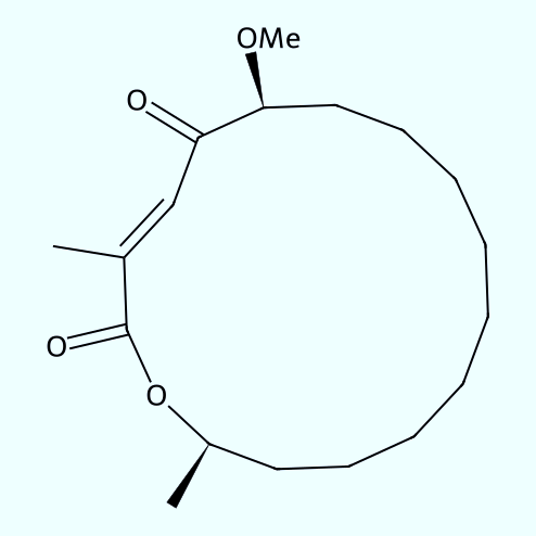 CO[C@H]1CCCCCCCCC[C@@H](C)OC(=O)/C(C)=C/C1=O